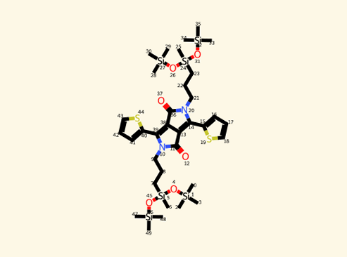 C[Si](C)(C)O[Si](C)(CCCN1C(=O)C2=C(c3cccs3)N(CCC[Si](C)(O[Si](C)(C)C)O[Si](C)(C)C)C(=O)C2=C1c1cccs1)O[Si](C)(C)C